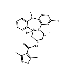 Cc1noc(C)c1C(=O)N[C@H]1C[C@@H](C)N2c3cc(Cl)ccc3N(C)c3ccccc3[C@@H]2C1